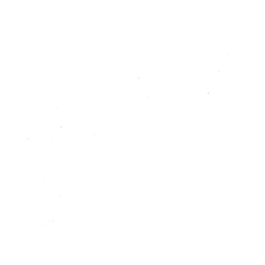 CCC(OCC1CO1)c1ccc2ccc(C(CC)OCC3CO3)cc2c1